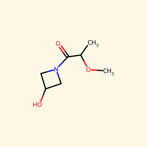 COC(C)C(=O)N1CC(O)C1